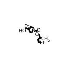 C=C(/C=C\CC)COC(=O)N1CCC(C(O)CC)CC1